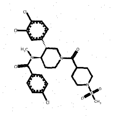 CN(C(=O)c1ccc(Cl)cc1)[C@@H]1CCN(C(=O)C2CCN(S(C)(=O)=O)CC2)C[C@H]1c1ccc(Cl)c(Cl)c1